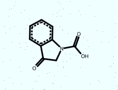 O=C1CN(C(=O)O)c2ccccc21